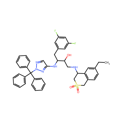 CCc1ccc2c(c1)C(NCC(O)C(Cc1cc(F)cc(F)c1)Nc1cnn(C(c3ccccc3)(c3ccccc3)c3ccccc3)n1)CS(=O)(=O)C2